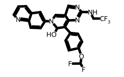 OC1C(c2ccc(OC(F)F)cc2)=c2nc(NCC(F)(F)F)ncc2=CN1c1ccc2ncccc2c1